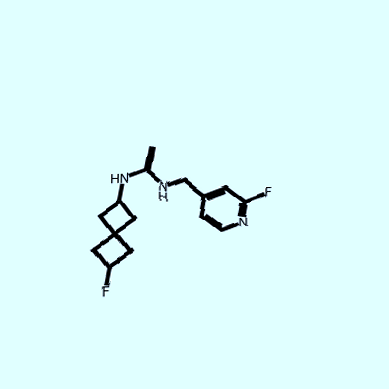 C=C(NCc1ccnc(F)c1)NC1CC2(CC(F)C2)C1